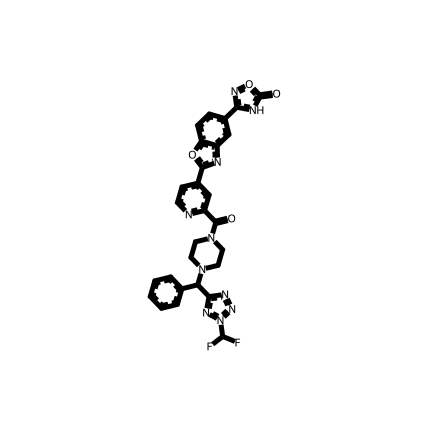 O=C(c1cc(-c2nc3cc(-c4noc(=O)[nH]4)ccc3o2)ccn1)N1CCN(C(c2ccccc2)c2nnn(C(F)F)n2)CC1